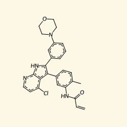 C=CC(=O)Nc1cc(-c2c(-c3cccc(N4CCOCC4)c3)[nH]c3nccc(Cl)c23)ccc1C